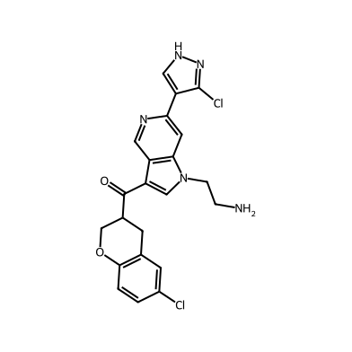 NCCn1cc(C(=O)C2COc3ccc(Cl)cc3C2)c2cnc(-c3c[nH]nc3Cl)cc21